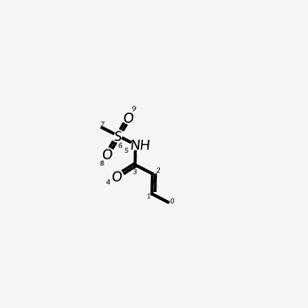 C/C=C/C(=O)NS(C)(=O)=O